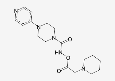 O=C(CN1CCCCC1)ONC(=O)N1CCN(c2ccncc2)CC1